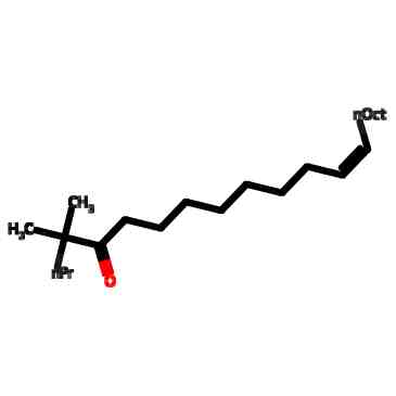 CCCCCCCC/C=C\CCCCCCCC(=O)C(C)(C)CCC